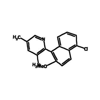 COc1ccc2c(Cl)cccc2c1-c1ncc(C)cc1N